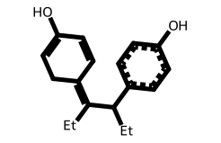 CCC(=C1C=CC(O)=CC1)C(CC)c1ccc(O)cc1